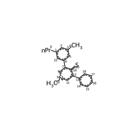 CCCc1cc(C)cc(-c2cn(C)cc(-c3ccccc3)c2=S)c1